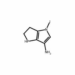 Nc1cn(I)c2c1PCC2